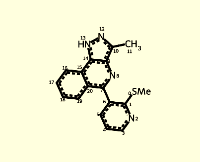 CSc1ncccc1-c1nc2c(C)n[nH]c2c2ccccc12